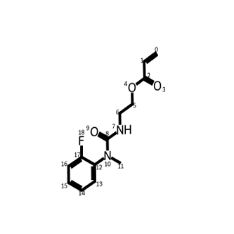 C=CC(=O)OCCNC(=O)N(C)c1ccccc1F